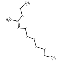 CCCCCCCC=C(C)CCC